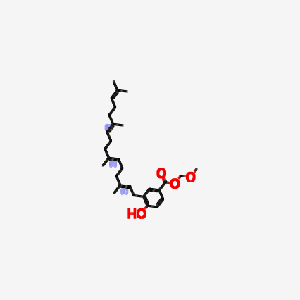 COCOC(=O)c1ccc(O)c(C/C=C(\C)CC/C=C(\C)CC/C=C(\C)CCC=C(C)C)c1